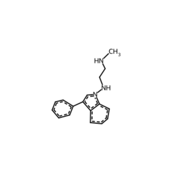 CNCCNn1cc(-c2ccccc2)c2ccccc21